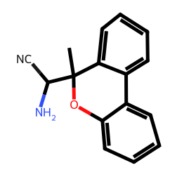 CC1(C(N)C#N)Oc2ccccc2-c2ccccc21